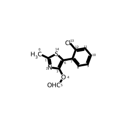 Cc1nc(OC=O)c(-c2ccccc2Cl)s1